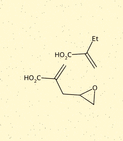 C=C(CC)C(=O)O.C=C(CC1CO1)C(=O)O